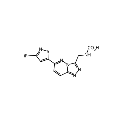 CC(C)c1cc(-c2ccc3nnc(CNC(=O)O)n3n2)sn1